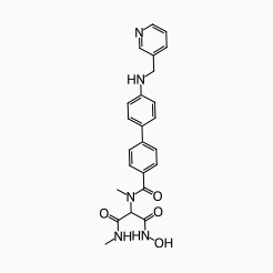 CNC(=O)C(C(=O)NO)N(C)C(=O)c1ccc(-c2ccc(NCc3cccnc3)cc2)cc1